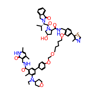 CCN(c1cc(-c2ccc(OCCOCCCCCOc3cc(-c4scnc4C)ccc3CNC(=O)C3C[C@@H](O)CN3C(=O)[C@H](C(C)C)N3Cc4ccccc4C3=O)cc2)cc(C(=O)NCc2c(C)cc(C)[nH]c2=O)c1C)C1CCOCC1